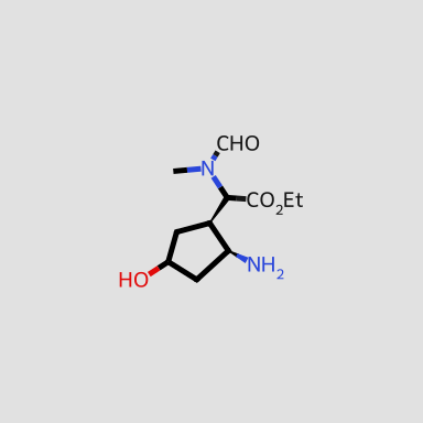 CCOC(=O)C([C@@H]1CC(O)C[C@@H]1N)N(C)C=O